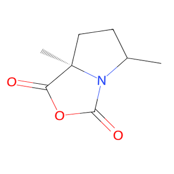 CC1CC[C@]2(C)C(=O)OC(=O)N12